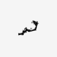 Cn1c(=O)n(C2CCC(=O)NC2=O)c2ccc(CCCOCC(C)(C)COCCCNCc3ccc(-n4cc(NC(=O)c5coc(-c6ccnc(NCC7CC7)c6)n5)c(C(F)F)n4)cc3)cc21